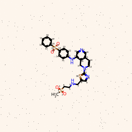 CS(=O)(=O)CCNCc1cnc(N2C=Cc3cncc(Nc4ccc(S(=O)(=O)c5ccccc5)cc4)c3C2)s1